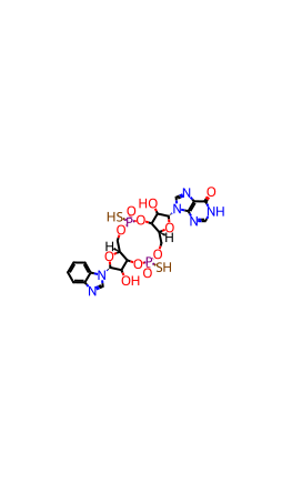 O=c1[nH]cnc2c1ncn2[C@@H]1O[C@@H]2COP(=O)(S)OC3C(O)[C@H](n4cnc5ccccc54)O[C@@H]3COP(=O)(S)OC2C1O